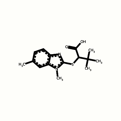 Cc1ccc2nc(SC(C(=O)O)C(C)(C)C)n(C)c2c1